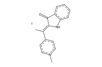 CC(=C1Nc2ccccc2C1=O)c1cc[n+](C)cc1.[I-]